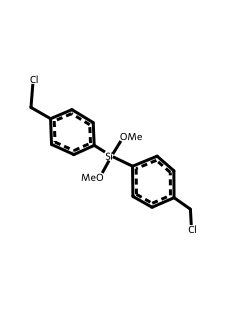 CO[Si](OC)(c1ccc(CCl)cc1)c1ccc(CCl)cc1